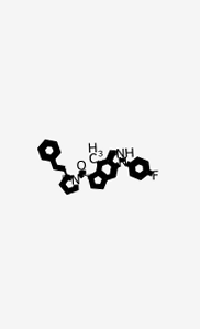 C[C@H]1C2=CNN(c3ccc(F)cc3)C2=CC2=C1[C@@H](C(=O)N1CCC[C@H]1CCc1ccccc1)CC2